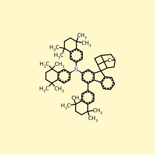 CC1(C)CCC(C)(C)c2cc(-c3cc(N(c4ccc5c(c4)C(C)(C)CCC5(C)C)c4ccc5c(c4)C(C)(C)CCC5(C)C)cc4c3-c3ccccc3C43C4CC5CC6CC3C64C5)ccc21